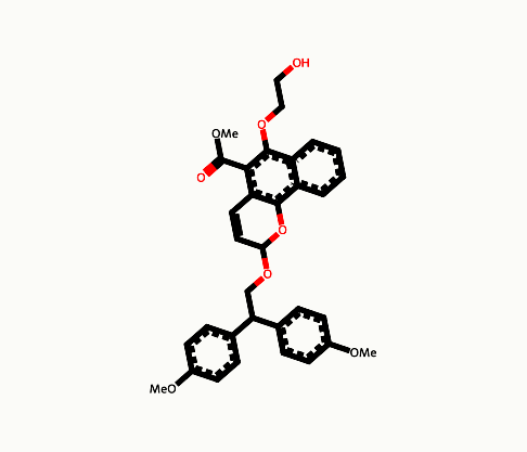 COC(=O)c1c2c(c3ccccc3c1OCCO)OC(OCC(c1ccc(OC)cc1)c1ccc(OC)cc1)C=C2